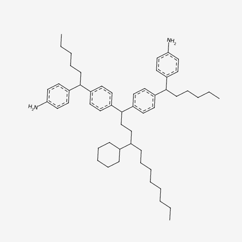 CCCCCCCCC(CCC(c1ccc(C(CCCCC)c2ccc(N)cc2)cc1)c1ccc(C(CCCCC)c2ccc(N)cc2)cc1)C1CCCCC1